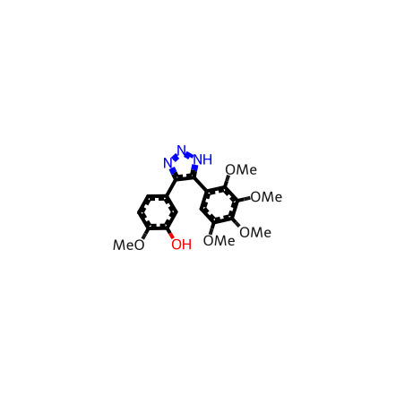 COc1ccc(-c2nn[nH]c2-c2cc(OC)c(OC)c(OC)c2OC)cc1O